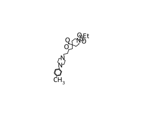 CCS(=O)(=O)N1CCC2(CC1)CC(CCN1CCN(c3ccc(C)cc3)CC1)OC2=O